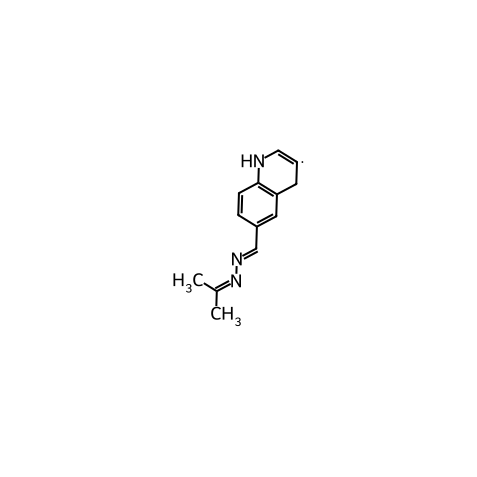 CC(C)=NN=Cc1ccc2c(c1)C[C]=CN2